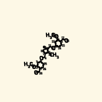 COc1cc(OCc2csc(COc3ccc(C=O)c(OC)c3)c2C)ccc1C=O